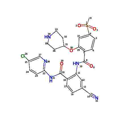 CS(=O)(=O)c1ccc(C(=O)Nc2cc(C#N)ccc2C(=O)Nc2ccc(Cl)cn2)c(OC2CCNCC2)c1